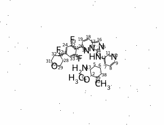 CO[C@@H]1[C@H](N)C[C@H](c2ccncc2Nc2ncc3ccc(-c4c(F)cc(C5(F)CCOCC5)cc4F)nn23)C[C@@H]1C